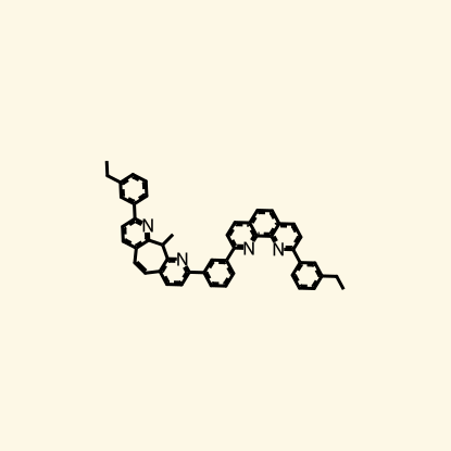 CCc1cccc(-c2ccc3c(n2)C(C)c2nc(-c4cccc(-c5ccc6ccc7ccc(-c8cccc(CC)c8)nc7c6n5)c4)ccc2C=C3)c1